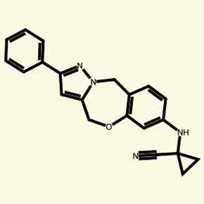 N#CC1(Nc2ccc3c(c2)OCc2cc(-c4ccccc4)nn2C3)CC1